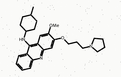 COc1cc2c(NC3CCC(C)CC3)c3ccccc3nc2cc1OCCCN1CCCC1